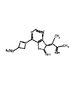 CC(=N)/C(C)=C1\C(=N)Sc2c1ncnc2N1CC(NC(C)=O)C1